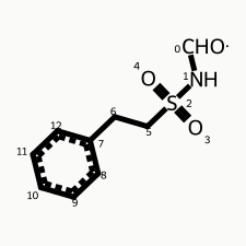 O=[C]NS(=O)(=O)CCc1ccccc1